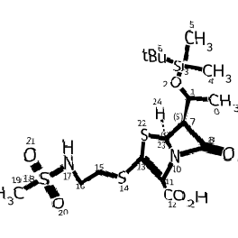 CC(O[Si](C)(C)C(C)(C)C)[C@H]1C(=O)N2C(C(=O)O)=C(SCCNS(C)(=O)=O)S[C@@H]12